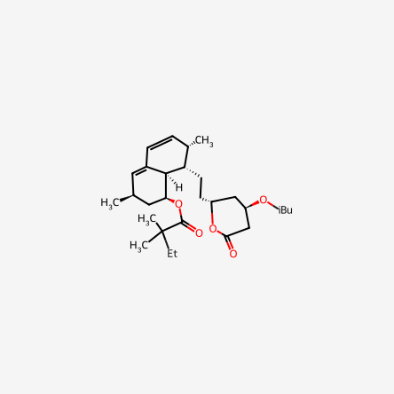 CCC(C)O[C@H]1CC(=O)O[C@H](CC[C@@H]2[C@@H]3C(=C[C@H](C)C[C@@H]3OC(=O)C(C)(C)CC)C=C[C@@H]2C)C1